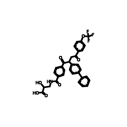 O=C(CC(C(=O)c1ccc(C(=O)NCC(O)C(=O)O)cc1)c1ccc(-c2ccccc2)cc1)c1ccc(OC(F)(F)F)cc1